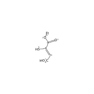 CCOC(=O)/C(S)=C/C(=O)O